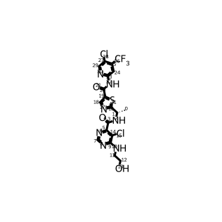 C[C@H](NC(=O)c1ncnc(NCCO)c1Cl)c1ncc(C(=O)Nc2cc(C(F)(F)F)c(Cl)cn2)s1